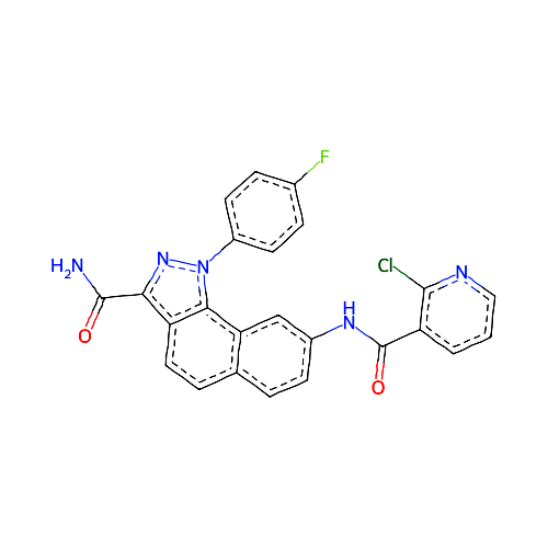 NC(=O)c1nn(-c2ccc(F)cc2)c2c1ccc1ccc(NC(=O)c3cccnc3Cl)cc12